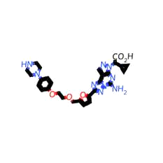 Nc1nc2c(cnn2C(C(=O)O)C2CC2)c2nc(-c3ccc(COCCOc4ccc(N5CCNCC5)cc4)o3)nn12